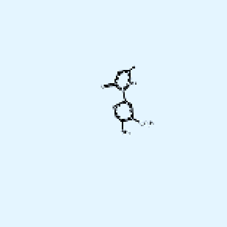 Cc1cc(=O)n(-c2ccc(N)c(C(=O)O)c2)[nH]1